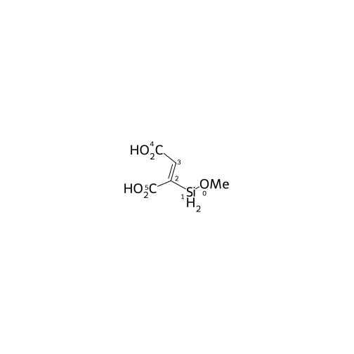 CO[SiH2]C(=CC(=O)O)C(=O)O